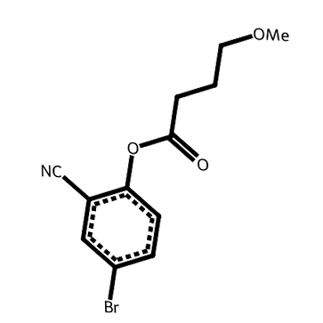 COCCCC(=O)Oc1ccc(Br)cc1C#N